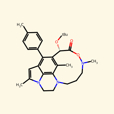 Cc1ccc(-c2c3c(C)c4c5c2cc(C)n5CCN4CCCN(C)OC(=O)[C@H]3OC(C)(C)C)cc1